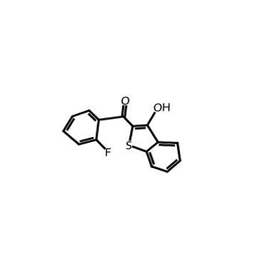 O=C(c1ccccc1F)c1sc2ccccc2c1O